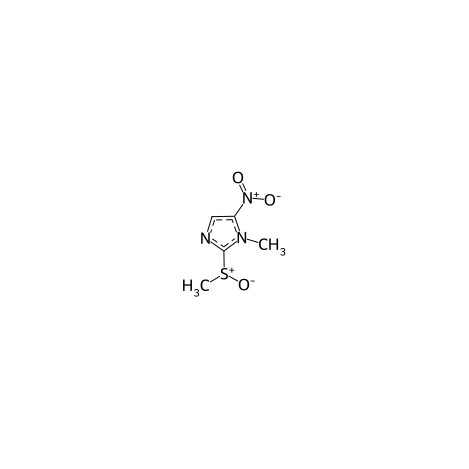 Cn1c([N+](=O)[O-])cnc1[S+](C)[O-]